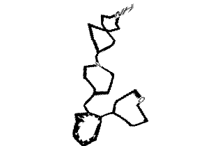 c1ccc(C2CCN(C3CCC4(CNC4)C3)CC2)c(C2CCOCC2)c1